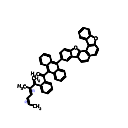 C=C(/C(C)=C/C=C\C)c1ccccc1C(=C)c1c2ccccc2c(-c2ccc3oc4c(ccc5ccc6oc7ccccc7c6c54)c3c2)c2ccccc12